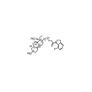 C[C@H](CCC(=O)N1CCc2cccc(F)c21)[C@H]1CC[C@H]2[C@@H]3[C@@H](O)C[C@@H]4C[C@H](O)CC[C@]4(C)[C@H]3CC[C@]12C